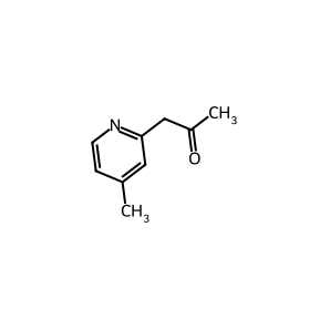 CC(=O)Cc1cc(C)ccn1